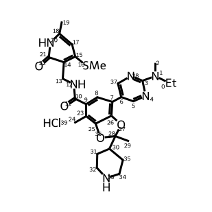 CCN(C)c1ncc(-c2cc(C(=O)NCc3c(SC)cc(C)[nH]c3=O)c(C)c3c2OC(C)(C2CCNCC2)O3)cn1.Cl